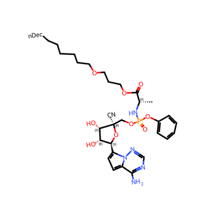 CCCCCCCCCCCCCCCCOCCCOC(=O)[C@H](C)NP(=O)(OC[C@@]1(C#N)O[C@@H](c2ccc3c(N)ncnn23)[C@H](O)[C@@H]1O)Oc1ccccc1